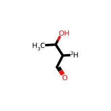 [2H]C(C=O)C(C)O